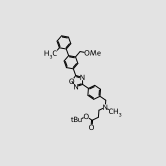 COCc1cc(-c2nc(-c3ccc(CN(C)CCC(=O)OC(C)(C)C)cc3)no2)ccc1-c1ccccc1C